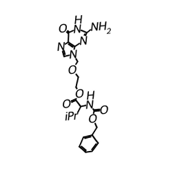 CC(C)C(NC(=O)OCc1ccccc1)C(=O)OCCOCn1cnc2c(=O)[nH]c(N)nc21